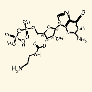 NCCNC(=O)O[C@H]1[C@@H](O)[C@H](n2cnc3c(=O)[nH]c(N)nc32)O[C@@H]1COP(=O)(O)OP(=O)(O)O